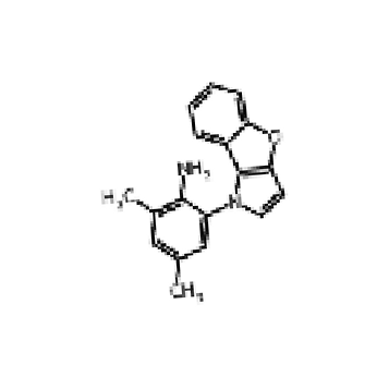 Cc1cc(C)c(N)c(-n2ccc3oc4ccccc4c32)c1